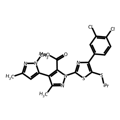 COC(=O)c1c(-c2cc(C)nn2C)c(C)nn1-c1nc(-c2ccc(Cl)c(Cl)c2)c(SC(C)C)s1